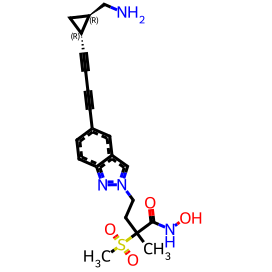 CC(CCn1cc2cc(C#CC#C[C@@H]3C[C@H]3CN)ccc2n1)(C(=O)NO)S(C)(=O)=O